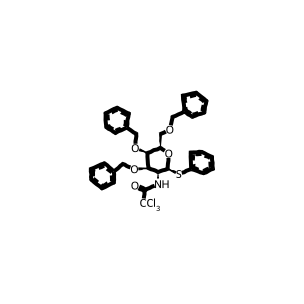 O=C(N[C@@H]1[C@@H](OCc2ccccc2)[C@@H](OCc2ccccc2)[C@@H](COCc2ccccc2)O[C@H]1Sc1ccccc1)C(Cl)(Cl)Cl